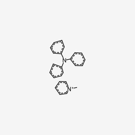 C[n+]1ccccc1.c1ccc(N(c2ccccc2)c2ccccc2)cc1